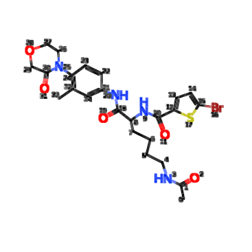 CC(=O)NCCCCC(NC(=O)c1ccc(Br)s1)C(=O)Nc1ccc(N2CCOCC2=O)c(C)c1